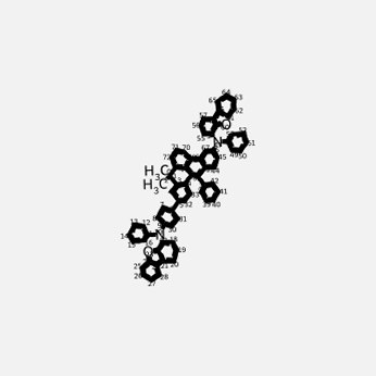 CC1(C)c2cc(-c3ccc(N(c4ccccc4)c4cccc5c4oc4ccccc45)cc3)ccc2-c2c(-c3ccccc3)c3ccc(N(c4ccccc4)c4cccc5c4oc4ccccc45)cc3c3cccc1c23